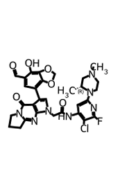 C[C@@H]1CN(C)CCN1c1cc(NC(=O)Cn2cc(-c3cc(C=O)c(O)c4c3OCO4)c3c(=O)n4c(nc32)CCC4)c(Cl)c(F)n1